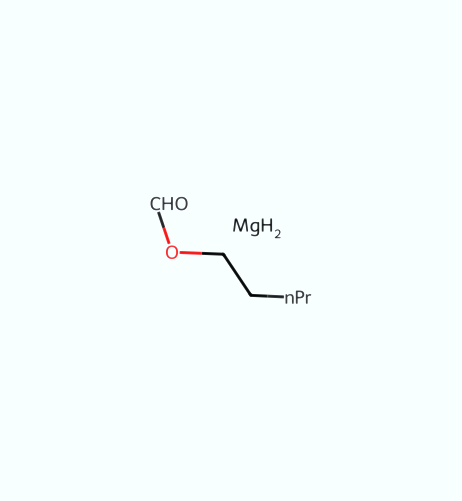 CCCCCOC=O.[MgH2]